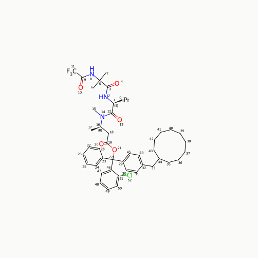 CC(C)[C@H](NC(=O)C(C)(C)NC(=O)C(F)(F)F)C(=O)N(C)[C@H](C)CC(=O)OC(c1ccccc1)(c1ccc(CC2CCCCCCCCC2)cc1)c1ccccc1Cl